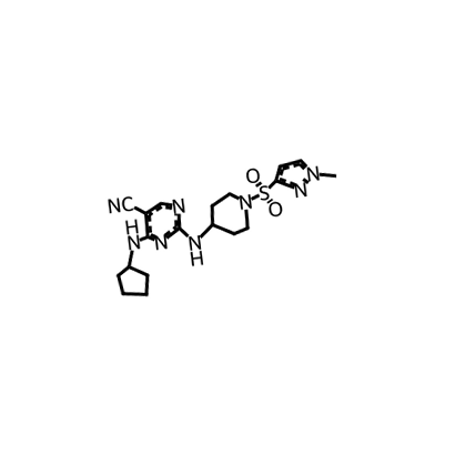 Cn1ccc(S(=O)(=O)N2CCC(Nc3ncc(C#N)c(NC4CCCC4)n3)CC2)n1